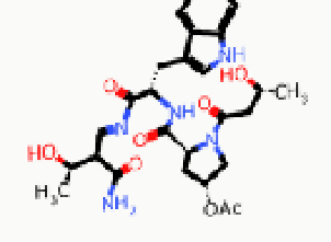 CC(=O)O[C@@H]1C[C@@H](C(=O)N[C@@H](Cc2c[nH]c3ccccc23)C(=O)/N=C/C(C(N)=O)[C@@H](C)O)N(C(=O)C[C@@H](C)O)C1